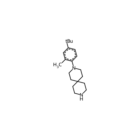 Cc1cc(C(C)(C)C)ccc1N1CCC2(CCNCC2)CC1